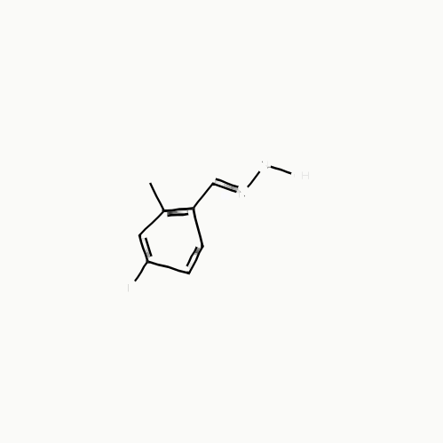 CN/N=C/c1ccc(F)cc1F